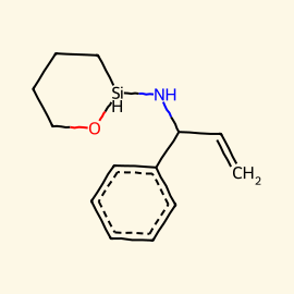 C=CC(N[SiH]1CCCCO1)c1ccccc1